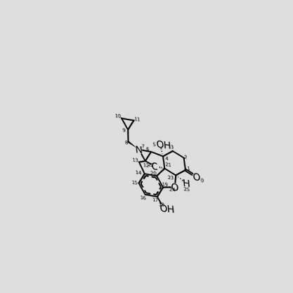 O=C1CC[C@]2(O)C3[N@](CC4CC4)C34Cc3ccc(O)c5c3[C@]2(C4)[C@@H]1O5